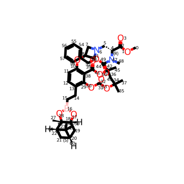 COC(=O)[C@@H](CN1CC(Oc2ccc(CCB3O[C@@H]4C[C@@H]5C[C@@H](C5(C)C)[C@]4(C)O3)c(OC(=O)OC(C)(C)C)c2C(=O)OC(C)(C)C)C1)N(C)C(=O)OCc1ccccc1